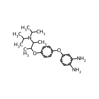 CC(Oc1ccc(Oc2ccc(N)c(N)c2)cc1)C(C)N(C(C)C)C(C)C